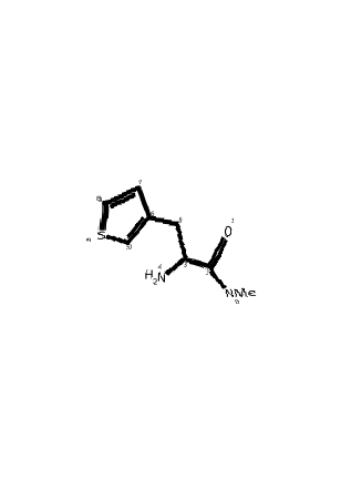 CNC(=O)C(N)Cc1ccsc1